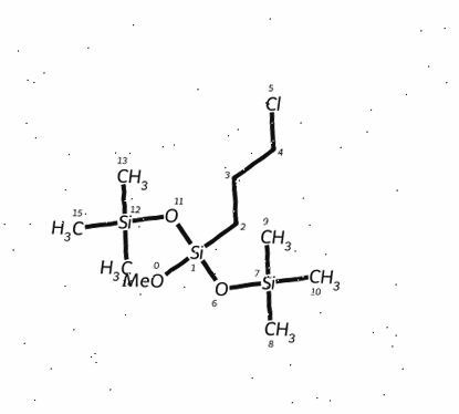 CO[Si](CCCCl)(O[Si](C)(C)C)O[Si](C)(C)C